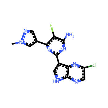 Cn1cc(-c2nc(-c3c[nH]c4ncc(Cl)nc34)nc(N)c2F)cn1